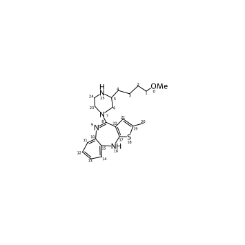 COCCCCC1CN(C2=Nc3ccccc3Nc3sc(C)cc32)CCN1